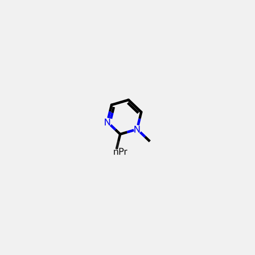 CCCC1N=CC=CN1C